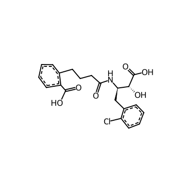 O=C(CCCc1ccccc1C(=O)O)N[C@H](Cc1ccccc1Cl)[C@@H](O)C(=O)O